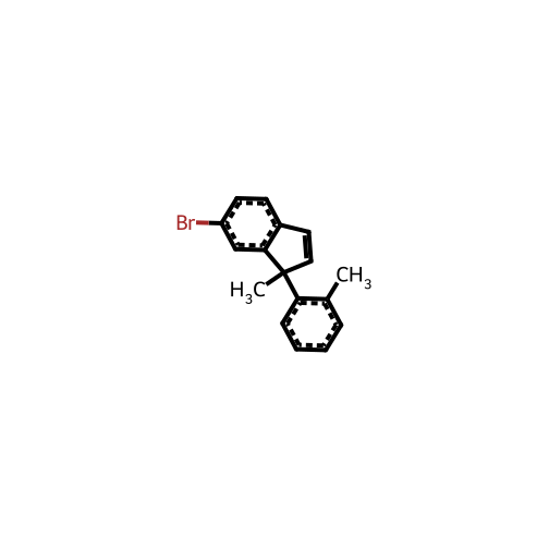 Cc1ccccc1C1(C)C=Cc2ccc(Br)cc21